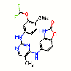 COc1ccc(Nc2ncc(C)c(Nc3ccc4oc(=O)[nH]c4c3)n2)cc1OC(F)F